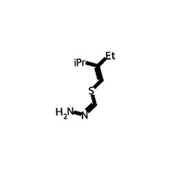 CC/C(=C/S/C=N\N)C(C)C